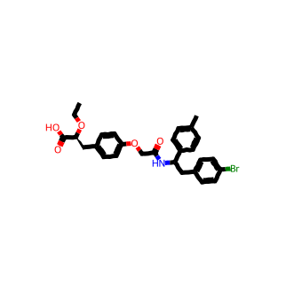 CCO[C@@H](Cc1ccc(OCC(=O)NC(Cc2ccc(Br)cc2)c2ccc(C)cc2)cc1)C(=O)O